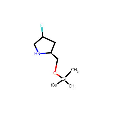 CC(C)(C)[Si](C)(C)OC[C@@H]1C[C@H](F)CN1